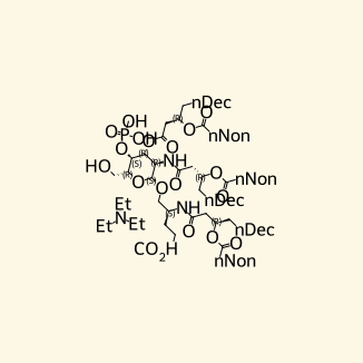 CCCCCCCCCCC[C@H](CC(=O)N[C@@H](CCC(=O)O)CO[C@H]1O[C@H](CO)[C@@H](OP(=O)(O)O)[C@H](OC(=O)C[C@@H](CCCCCCCCCCC)OC(=O)CCCCCCCCC)[C@H]1NC(=O)C[C@@H](CCCCCCCCCCC)OC(=O)CCCCCCCCC)OC(=O)CCCCCCCCC.CCN(CC)CC